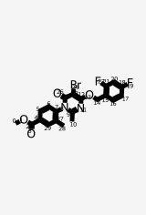 COC(=O)c1ccc(-n2c(C)nc(OCc3ccc(F)cc3F)c(Br)c2=O)c(C)c1